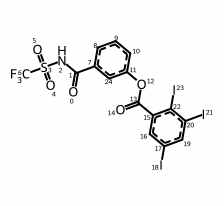 O=C(NS(=O)(=O)C(F)(F)F)c1cccc(OC(=O)c2cc(I)cc(I)c2I)c1